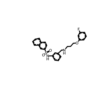 O=S(=O)(Nc1cccc(CNCCCOc2cccc(F)c2)c1)c1ccc2ccccc2c1